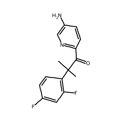 CC(C)(C(=O)c1ccc(N)cn1)c1ccc(F)cc1F